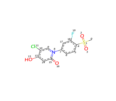 CS(=O)(=O)c1ccc(-n2cc(Cl)c(O)cc2=O)cc1F